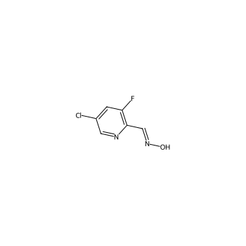 ON=Cc1ncc(Cl)cc1F